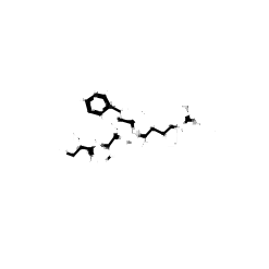 CC(C)C[C@H](N)C(=O)N[C@@H](CS)C(=O)N[C@@H](Cc1ccccc1)C(=O)N[C@@H](CCCNC(=N)N)C(=O)O